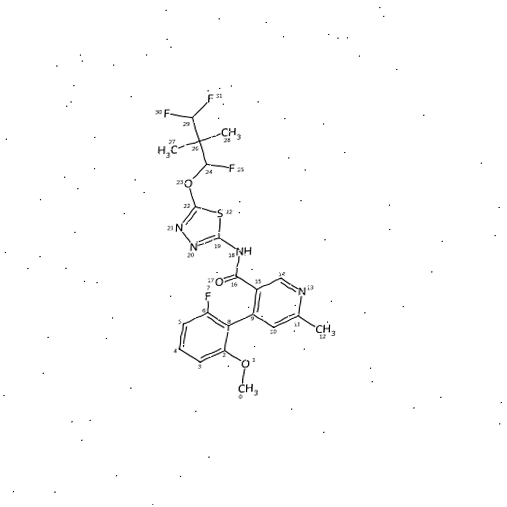 COc1cccc(F)c1-c1cc(C)ncc1C(=O)Nc1nnc(OC(F)C(C)(C)C(F)F)s1